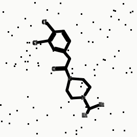 CCC(CC)N1CCN(C(=O)Cc2ccc(Cl)c(Cl)c2)CC1